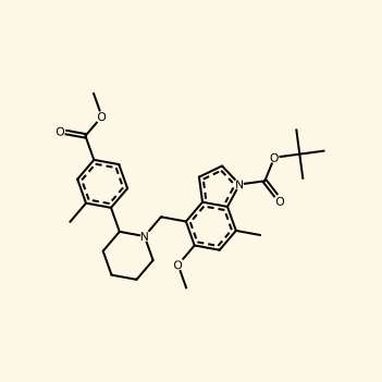 COC(=O)c1ccc(C2CCCCN2Cc2c(OC)cc(C)c3c2ccn3C(=O)OC(C)(C)C)c(C)c1